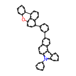 c1ccc(-n2c3ccccc3c3c4ccc(-c5cccc(-c6ccc7c8c(cccc68)-c6ccccc6O7)c5)cc4ccc32)cc1